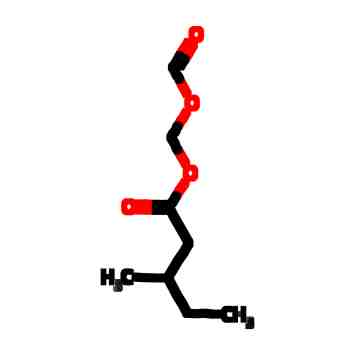 CCC(C)CC(=O)OCOC=O